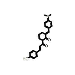 CN(C)c1ccc(C=C2CCCC(C(=O)C=Cc3ccc(O)cc3)C2=O)cc1